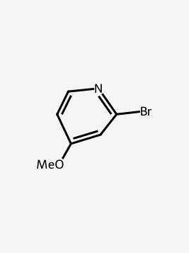 COc1ccnc(Br)c1